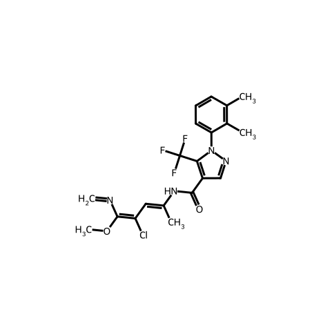 C=N/C(OC)=C(Cl)\C=C(/C)NC(=O)c1cnn(-c2cccc(C)c2C)c1C(F)(F)F